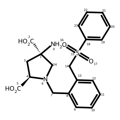 N[C@]1(C(=O)O)C[C@H](C(=O)O)N(Cc2ccccc2CS(=O)(=O)c2ccccc2)C1